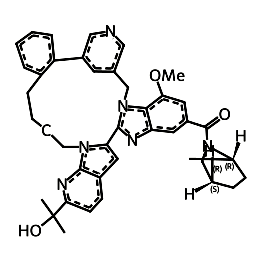 COc1cc(C(=O)N2C[C@H]3CC[C@@H]2[C@@H]3C)cc2nc3n(c12)Cc1cncc(c1)-c1ccccc1CCCCn1c-3cc2ccc(C(C)(C)O)nc21